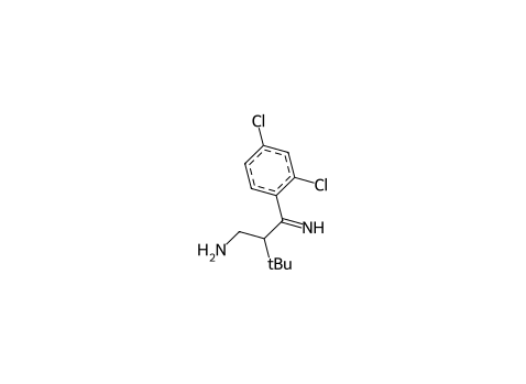 CC(C)(C)C(CN)C(=N)c1ccc(Cl)cc1Cl